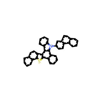 c1ccc2c(c1)ccc1cc(-n3c4ccccc4c4c5c6ccc7ccccc7c6sc5c5ccccc5c43)ccc12